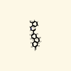 C=C(/C=C\c1ccccc1C)c1ccc2c(ccc3cc(F)ccc32)c1